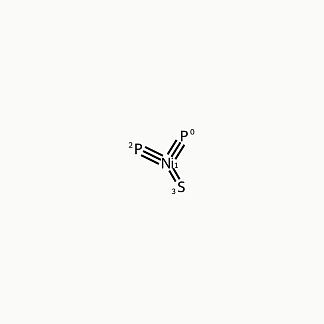 [P]#[Ni](#[P])=[S]